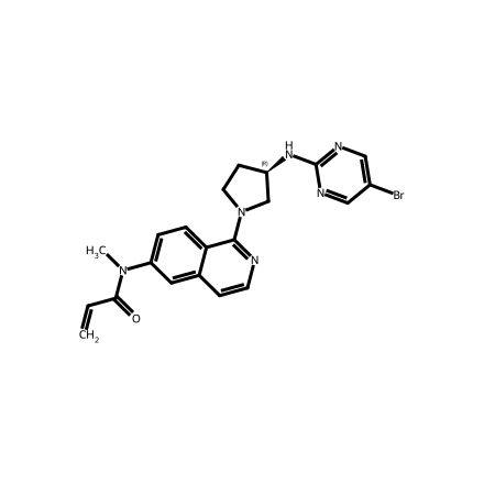 C=CC(=O)N(C)c1ccc2c(N3CC[C@@H](Nc4ncc(Br)cn4)C3)nccc2c1